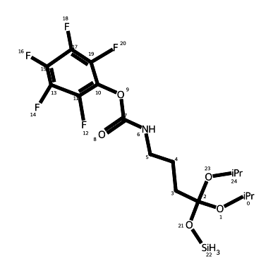 CC(C)OC(CCCNC(=O)Oc1c(F)c(F)c(F)c(F)c1F)(O[SiH3])OC(C)C